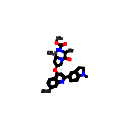 COc1ccc2c(O[C@@H]3C[C@@H](C(=O)O)N(C(=O)C(NC(=O)OC(C)(C)C)C(C)C)C3)cc(-c3ccc4c(c3)CCN4C)nc2c1